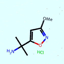 COc1cc(C(C)(C)N)on1.Cl